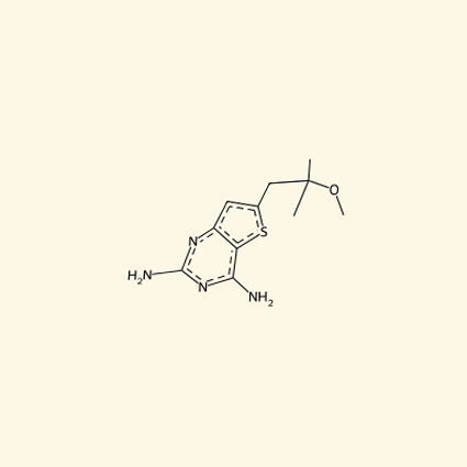 COC(C)(C)Cc1cc2nc(N)nc(N)c2s1